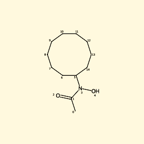 CC(=O)N(O)C1CCCCCCCCC1